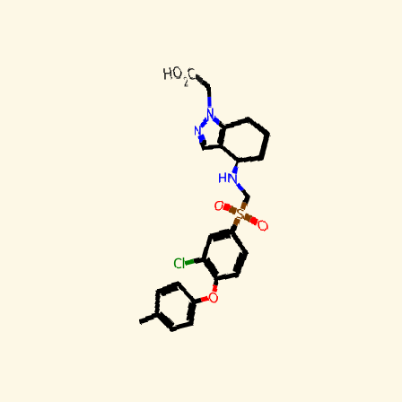 Cc1ccc(Oc2ccc(S(=O)(=O)CN[C@@H]3CCCc4c3cnn4CC(=O)O)cc2Cl)cc1